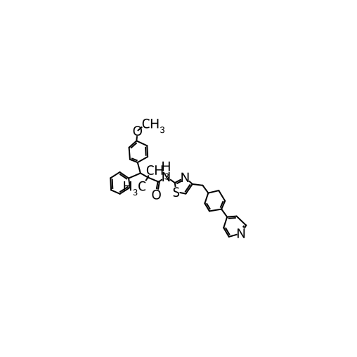 COc1ccc(C(c2ccccc2)C(C)(C)C(=O)Nc2nc(CC3C=CC(c4ccncc4)=CC3)cs2)cc1